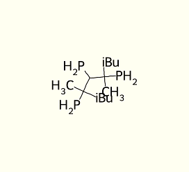 CCC(C)C(C)(P)C(P)C(C)(P)C(C)CC